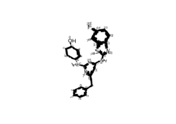 O[C@H]1CC[C@H](Nc2nc(Cc3ccccc3)cc(Nc3nc4ccc(F)cc4s3)n2)CC1